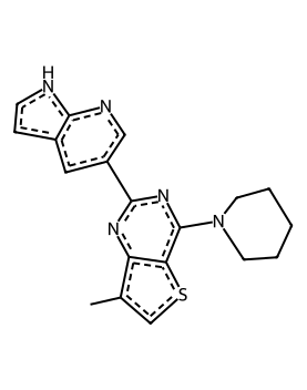 Cc1csc2c(N3CCCCC3)nc(-c3cnc4[nH]ccc4c3)nc12